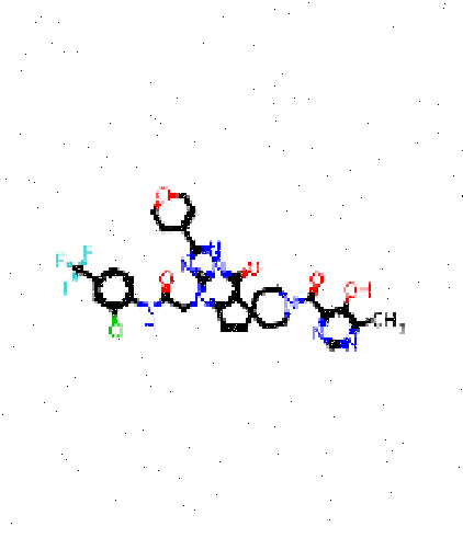 Cc1ncnc(C(=O)N2CCC3(C=Cc4c3c(=O)n3nc(C5=CCOCC5)nc3n4CC(=O)Nc3ccc(C(F)(F)F)cc3Cl)CC2)c1O